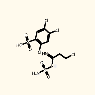 N=C(CCCl)NS(N)(=O)=O.O=S(=O)(O)c1cc(Cl)c(Cl)cc1Cl